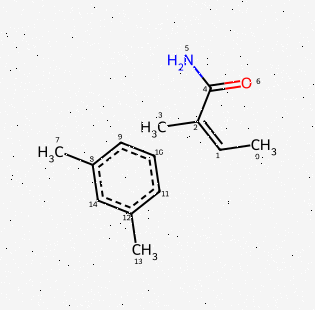 CC=C(C)C(N)=O.Cc1cccc(C)c1